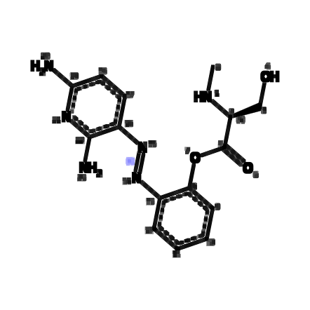 CN[C@@H](CO)C(=O)Oc1ccccc1/N=N/c1ccc(N)nc1N